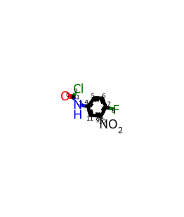 O=C(Cl)Nc1ccc(F)c([N+](=O)[O-])c1